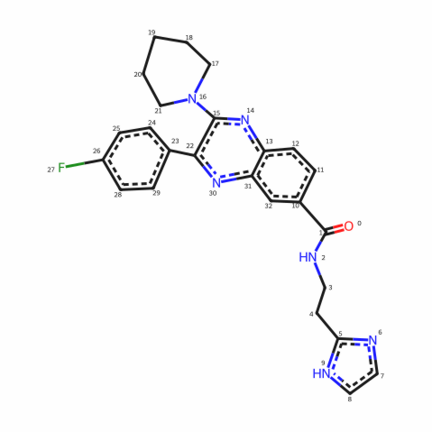 O=C(NCCc1ncc[nH]1)c1ccc2nc(N3CCCCC3)c(-c3ccc(F)cc3)nc2c1